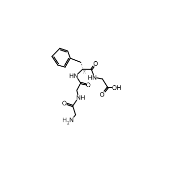 NCC(=O)NCC(=O)N[C@H](Cc1ccccc1)C(=O)NCC(=O)O